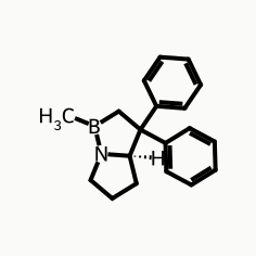 CB1CC(c2ccccc2)(c2ccccc2)[C@H]2CCCN12